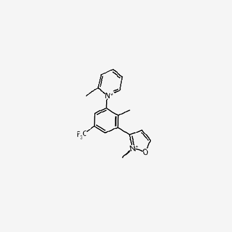 Cc1c(-c2cco[n+]2C)cc(C(F)(F)F)cc1-[n+]1ccccc1C